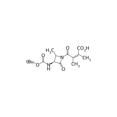 C/C(C(=O)O)=C(\C)C(=O)N1C(=O)[C@@H](NC(=O)OC(C)(C)C)C1C